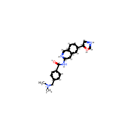 CN(C)Cc1ccc(C(=O)Nc2cc3cc(-c4cnco4)ccc3cn2)cc1